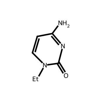 CCn1ccc(N)nc1=O